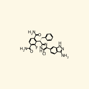 NC(=O)c1ccc(C(N)=O)c([C@H](Cc2ccccc2)c2nc(-c3ccc4c(N)n[nH]c4c3)c(Cl)[nH]2)c1F